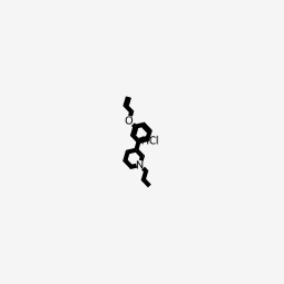 C=CCOc1cccc(C2CCCN(CCC)C2)c1.Cl